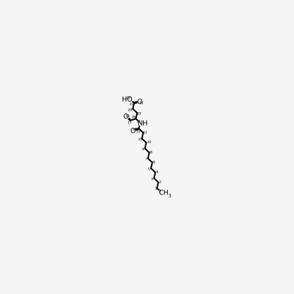 CCCCCCCCCCCCCC(=O)NC(C=O)CCC(=O)O